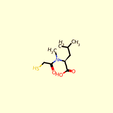 CC(C)C[C@@H](C(=O)O)N(C)C(=O)CS